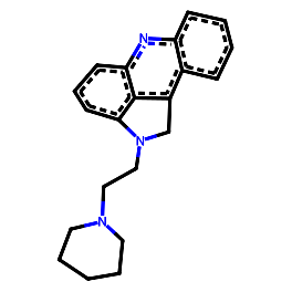 c1ccc2c3c4c(cccc4nc2c1)N(CCN1CCCCC1)C3